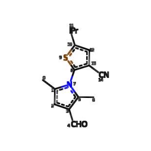 Cc1cc(C=O)c(C)n1-c1sc(C(C)C)cc1C#N